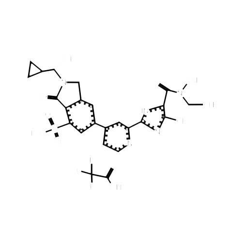 CCN(C)C(=O)c1[nH]c(-c2cc(-c3cc4c(c(S(C)(=O)=O)c3)C(=O)N([C@@H](C)C3CC3)C4)ccn2)nc1C.O=C(O)C(F)(F)F